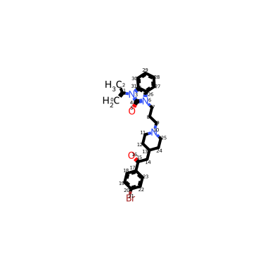 C=C(C)n1c(=O)n(CCCN2CCC(CC(=O)c3ccc(Br)cc3)CC2)c2ccccc21